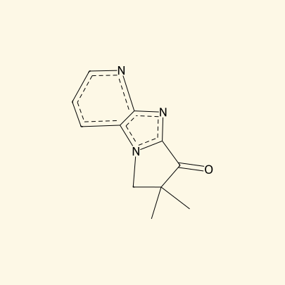 CC1(C)Cn2c(nc3ncccc32)C1=O